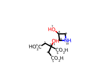 O=C(O)CC(O)(CC(=O)O)C(=O)O.OC1CNC1